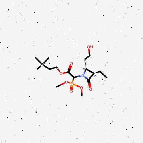 CC[C@H]1C(=O)N(C(C(=O)OCC[Si](C)(C)C)P(=O)(OC)OC)[C@@H]1CCO